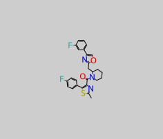 Cc1nc(C(=O)N2CCCCC2Cc2nc(-c3cccc(F)c3)co2)c(-c2ccc(F)cc2)s1